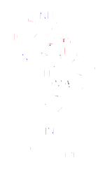 CCOC(=O)C(CC(C)C)NCc1ccc(OC)c(-c2ccc(O)c3c2C[C@@H]2C[C@@H]4C(N(C)C)C(O)=C(C(N)=O)C(=O)[C@]4(O)C(O)=C2C3=O)c1